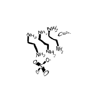 NCCN.NCCN.NCCN.O=S(=O)([O-])[O-].[Cu+2]